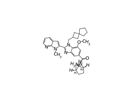 COc1cc(C(=O)N2C[C@H]3CC[C@@H]2[C@@H]3N)cc2nc(-c3cc4cccnc4n3C)n(CC3CC4(CCCC4)C3)c12